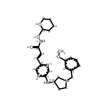 COc1cccc(CN2CC[C@@H](Nc3cnc(C=CC(=O)NOC4CCCCO4)cn3)C2)c1